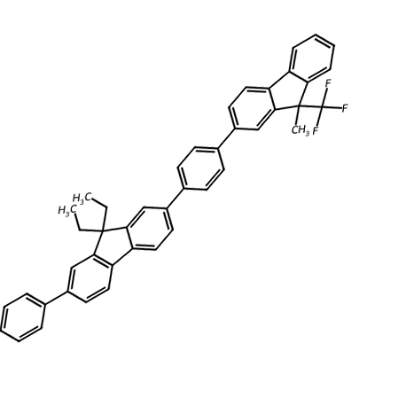 CCC1(CC)c2cc(-c3ccccc3)ccc2-c2ccc(-c3ccc(-c4ccc5c(c4)C(C)(C(F)(F)F)c4ccccc4-5)cc3)cc21